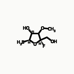 B[C@@H]1O[C@](F)(CO)C(OC)[C@@H]1O